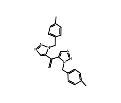 C=C(c1cnnn1Cc1ccc(C)cc1)c1cnnn1Cc1ccc(C)cc1